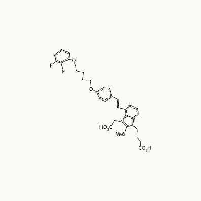 CSc1c(CCCC(=O)O)c2cccc(C=Cc3ccc(OCCCCOc4cccc(F)c4F)cc3)c2n1CC(=O)O